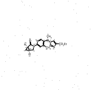 CCOC(=O)c1cn([C@@H](C)c2cnc(N3C[C@H]4C[C@H]4C3=O)cc2C)nn1